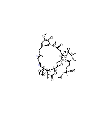 COc1cc2cc(c1Cl)N(C)C(=O)C[C@H](OC(=O)[C@@H](C)N(C)C(=O)CCC(C)(C#N)SSC)[C@@]1(C)CC(C)(O1)[C@@H]1C[C@@](O)(NC(=O)O1)[C@H](OC)/C=C/C=C(\C)C2